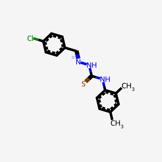 Cc1ccc(NC(=S)N/N=C/c2ccc(Cl)cc2)c(C)c1